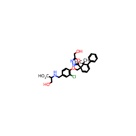 CC1(C)C(c2ccccc2)=CC=CC1(COc1ccc(CNC(CO)C(=O)O)cc1Cl)c1nnc(CO)o1